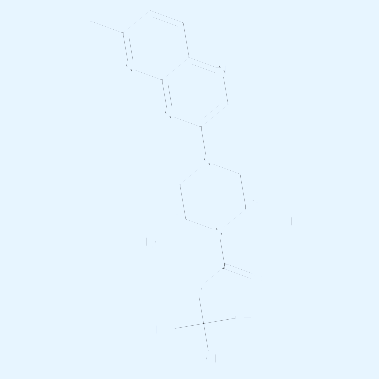 C[C@@H]1CN(c2cnc3ccc(Cl)nc3n2)C[C@H](C)N1C(=O)OC(C)(C)C